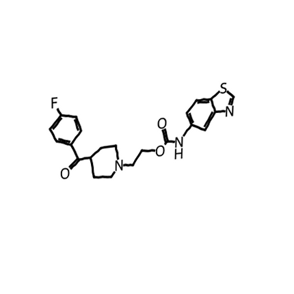 O=C(Nc1ccc2scnc2c1)OCCN1CCC(C(=O)c2ccc(F)cc2)CC1